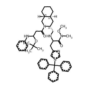 CON(C)C(=O)C(Cc1cn(C(c2ccccc2)(c2ccccc2)c2ccccc2)cn1)NC[C@H]1C[C@@H]2CCCC[C@H]2CN1C(=O)CC(Nc1ccccc1)OC(C)(C)C